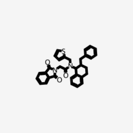 O=C1c2ccccc2C(=O)N1CC(=O)N(Cc1cccs1)C1c2ccccc2CCC1Cc1ccccc1